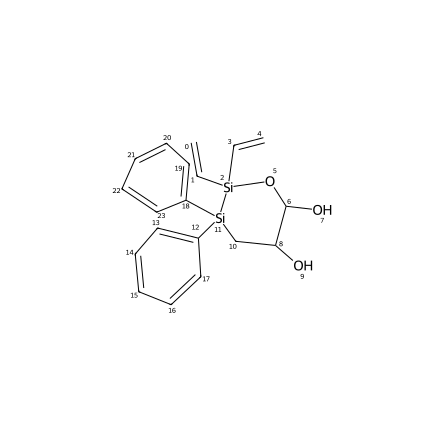 C=C[Si]1(C=C)OC(O)C(O)C[Si]1(c1ccccc1)c1ccccc1